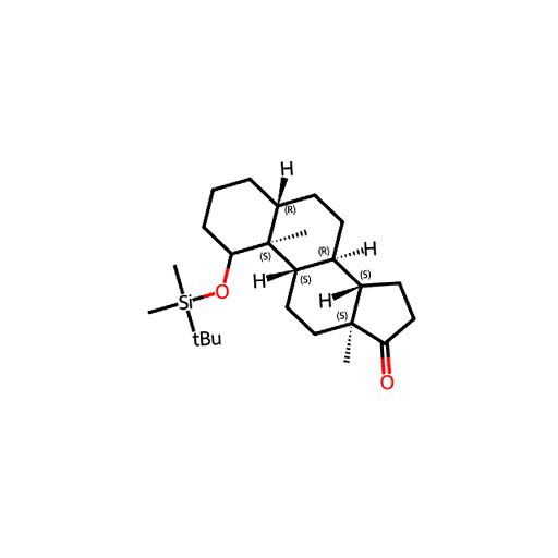 CC(C)(C)[Si](C)(C)OC1CCC[C@@H]2CC[C@@H]3[C@H](CC[C@]4(C)C(=O)CC[C@@H]34)[C@@]12C